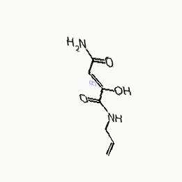 C=CCNC(=O)/C(O)=C/C(N)=O